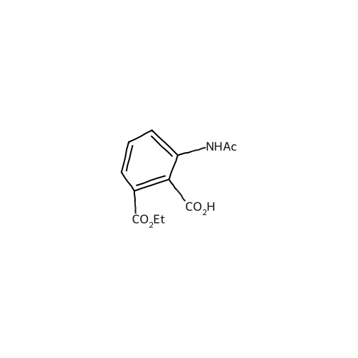 CCOC(=O)c1cccc(NC(C)=O)c1C(=O)O